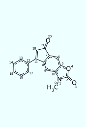 Cn1c(=O)oc2cc3c(cc21)C(c1ccccc1)=CC3=O